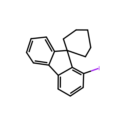 Ic1cccc2c1C1(CCCCC1)c1ccccc1-2